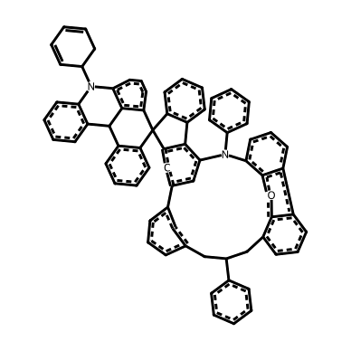 C1=CCC(N2c3ccccc3C3c4ccccc4C4(c5ccccc5-c5c6cc(cc54)-c4cccc(c4)CC(c4ccccc4)Cc4cccc5c4oc4c(cccc45)N6c4ccccc4)c4cccc2c43)C=C1